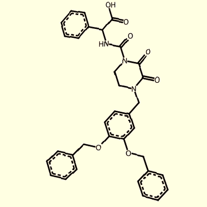 O=C(O)C(NC(=O)N1CCN(Cc2ccc(OCc3ccccc3)c(OCc3ccccc3)c2)C(=O)C1=O)c1ccccc1